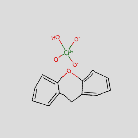 [O-][Cl+3]([O-])([O-])O.c1ccc2c(c1)Cc1ccccc1O2